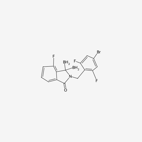 BC1(B)c2c(F)cccc2C(=O)N1Cc1c(F)cc(Br)cc1F